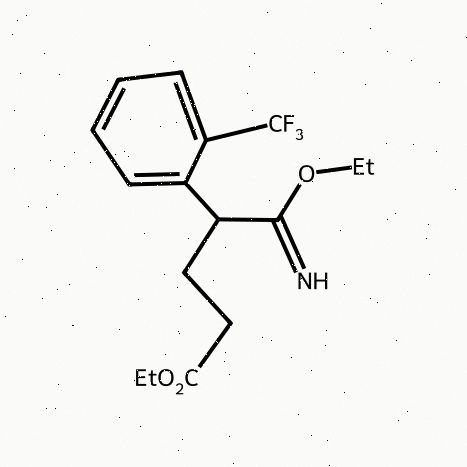 CCOC(=N)C(CCC(=O)OCC)c1ccccc1C(F)(F)F